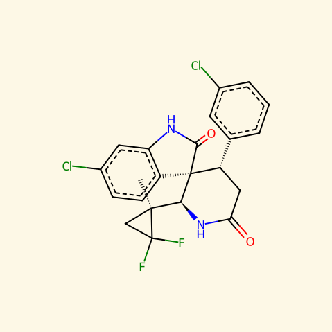 C[C@@]1([C@@H]2NC(=O)C[C@@H](c3cccc(Cl)c3)[C@]23C(=O)Nc2cc(Cl)ccc23)CC1(F)F